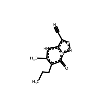 CCCc1c(C)[nH]c2c(C#N)nnn2c1=O